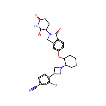 N#Cc1ccc(C2CN([C@@H]3CCCC[C@@H]3Oc3ccc4c(c3)CN(C3CCC(=O)NC3O)C4=O)C2)c(Cl)c1